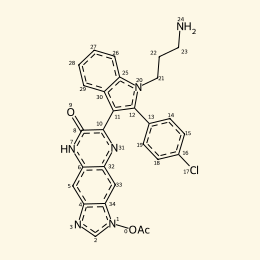 CC(=O)On1cnc2cc3[nH]c(=O)c(-c4c(-c5ccc(Cl)cc5)n(CCCN)c5ccccc45)nc3cc21